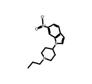 CCCN1CCC(n2ccc3ccc([N+](=O)[O-])cc32)CC1